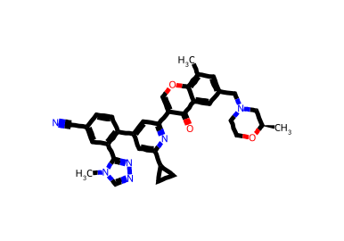 Cc1cc(CN2CCO[C@H](C)C2)cc2c(=O)c(-c3cc(-c4ccc(C#N)cc4-c4nncn4C)cc(C4CC4)n3)coc12